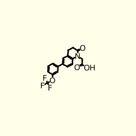 O=C(O)CN1C(=O)CCc2cc(-c3cccc(OC(F)(F)F)c3)ccc21